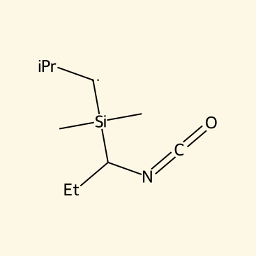 CCC(N=C=O)[Si](C)(C)[CH]C(C)C